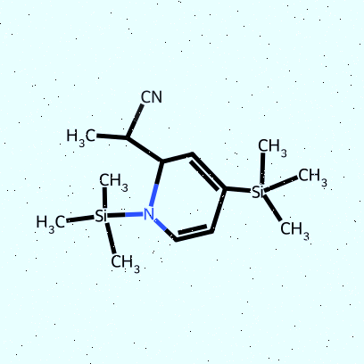 CC(C#N)C1C=C([Si](C)(C)C)C=CN1[Si](C)(C)C